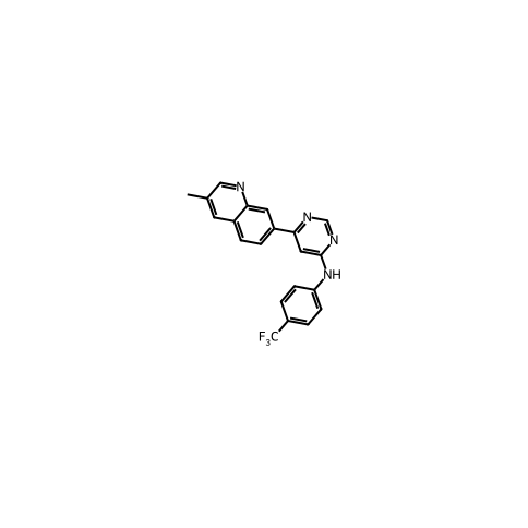 Cc1cnc2cc(-c3cc(Nc4ccc(C(F)(F)F)cc4)ncn3)ccc2c1